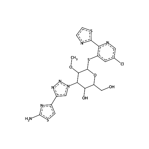 COC1C(Sc2cc(Cl)cnc2-c2nccs2)OC(CO)C(O)C1n1cc(-c2csc(N)n2)nn1